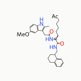 COc1ccc2[nH]c(C)c(CC(=O)N[C@@H](CCCCCC(C)=O)C(=O)NCC3CCCc4ccccc43)c2c1